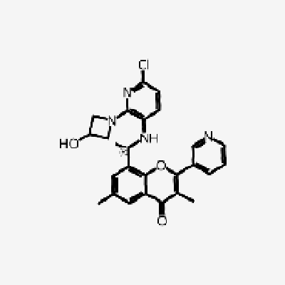 Cc1cc([C@@H](C)Nc2ccc(Cl)nc2N2CC(O)C2)c2oc(-c3cccnc3)c(C)c(=O)c2c1